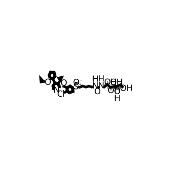 O=C(NCCCCC[S+]([O-])c1ccc(Cl)c(COC2(c3cnccc3-c3ccccc3OC3CC3)CC2)c1)NC[C@H](O)[C@@H](O)[C@H](O)[C@H](O)CO